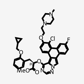 COC(=O)[C@@H](Cc1ccccc1OCC1CC1)Oc1ncnn2cc3c4ccc(F)cc4c4c(Cl)c(OCCN5CCN(C)CC5)ccc4c3c12